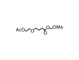 COCOC(=O)CCCOCCOC(C)=O